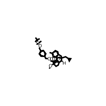 COC12CCC3(C[C@@H]1COCc1ccc(CO[Si](C)(C)C(C)(C)C)cc1)[C@H]1Cc4ccc(C)c5c4[C@@]3(CCN1CC1CC1)[C@H]2O5